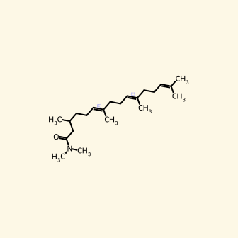 CC(C)=CCC/C(C)=C/CC/C(C)=C/CCC(C)CC(=O)N(C)C